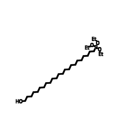 CCO[Si](CCCCCCCCCCCCCCCCCCCCCCCO)(OCC)OCC